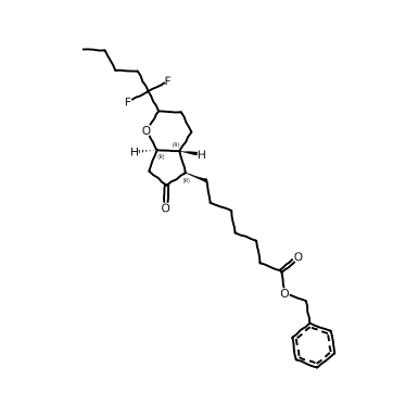 CCCCC(F)(F)C1CC[C@H]2[C@@H](CC(=O)[C@@H]2CCCCCCC(=O)OCc2ccccc2)O1